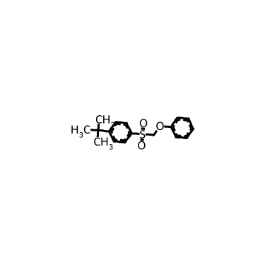 CC(C)(C)c1ccc(S(=O)(=O)COc2ccccc2)cc1